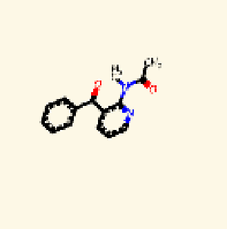 CC(=O)N(C)c1ncccc1C(=O)c1ccccc1